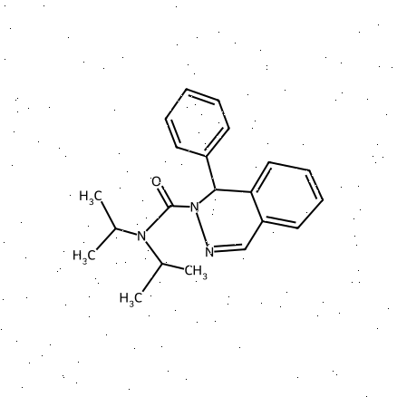 CC(C)N(C(=O)N1N=Cc2ccccc2C1c1ccccc1)C(C)C